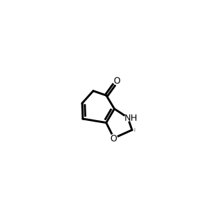 O=C1CC=CC2=C1N[C]O2